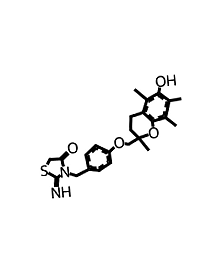 Cc1c(C)c2c(c(C)c1O)CCC(C)(COc1ccc(CN3C(=N)SCC3=O)cc1)O2